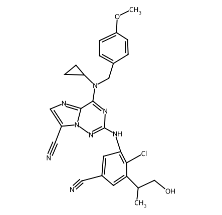 COc1ccc(CN(c2nc(Nc3cc(C#N)cc(C(C)CO)c3Cl)nn3c(C#N)cnc23)C2CC2)cc1